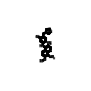 CCOc1ccc2c(Nc3ccc(Cn4ccnc4)c(Cl)c3)c(C#N)cnc2c1[N+](=O)[O-]